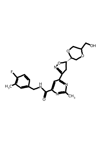 Cc1nc(C(=O)NCc2ccc(F)c(C)c2)cc(C2=NO[C@H](C3COC(CO)CO3)C2)n1